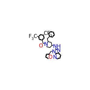 O=C(c1cc(C(F)(F)F)cc(C(F)(F)F)c1)N1CCC(Nc2nc3cccnc3n2Cc2ccco2)CC1Cc1ccccc1